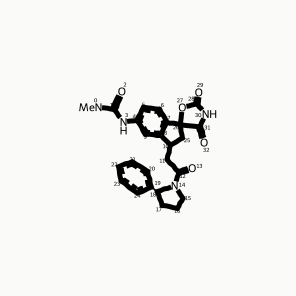 CNC(=O)Nc1ccc2c(c1)C(CC(=O)N1CCC[C@@H]1c1ccccc1)CC21OC(=O)NC1=O